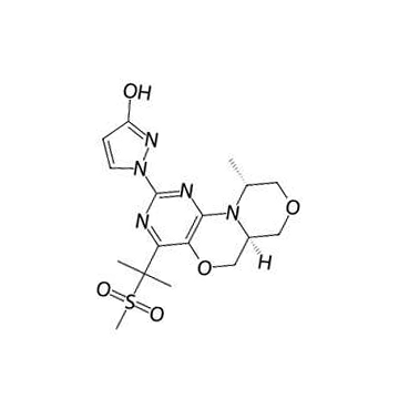 C[C@@H]1COC[C@H]2COc3c(nc(-n4ccc(O)n4)nc3C(C)(C)S(C)(=O)=O)N21